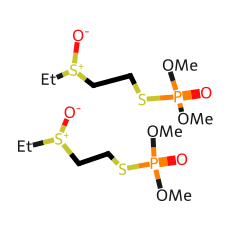 CC[S+]([O-])CCSP(=O)(OC)OC.CC[S+]([O-])CCSP(=O)(OC)OC